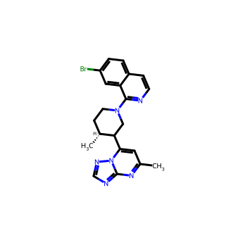 Cc1cc(C2CN(c3nccc4ccc(Br)cc34)CC[C@H]2C)n2ncnc2n1